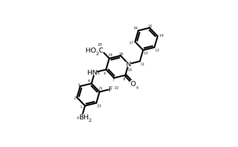 Bc1ccc(Nc2cc(=O)n(Cc3ccccc3)cc2C(=O)O)c(F)c1